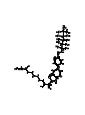 CCCCCC(C)CCCCCCC(C)[SiH2]C1Oc2ccc(-c3ccc(OCC(F)(F)C(F)(F)C(F)(F)C(F)(F)C(F)(F)C(F)(F)F)nc3)cc2O1